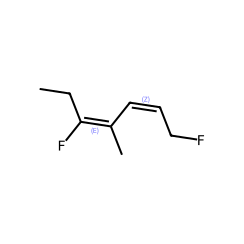 CC/C(F)=C(C)\C=C/CF